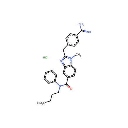 CCOC(=O)CCCN(C(=O)c1ccc2c(c1)nc(Cc1ccc(C(=N)N)cc1)n2C)c1ccccc1.Cl